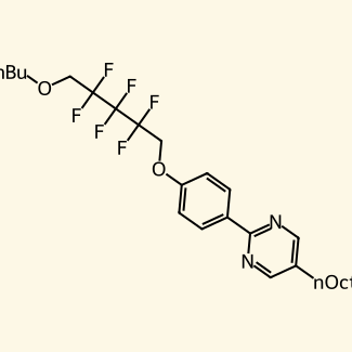 CCCCCCCCc1cnc(-c2ccc(OCC(F)(F)C(F)(F)C(F)(F)COCCCC)cc2)nc1